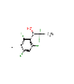 CCOC(=O)C(F)(F)C(O)c1c(F)cc(F)cc1F